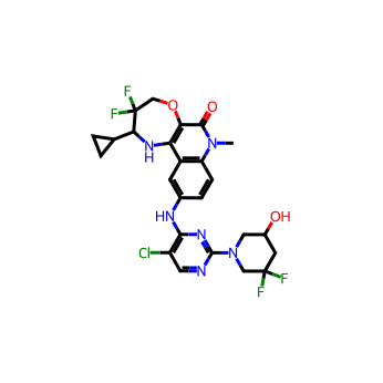 Cn1c(=O)c2c(c3cc(Nc4nc(N5CC(O)CC(F)(F)C5)ncc4Cl)ccc31)NC(C1CC1)C(F)(F)CO2